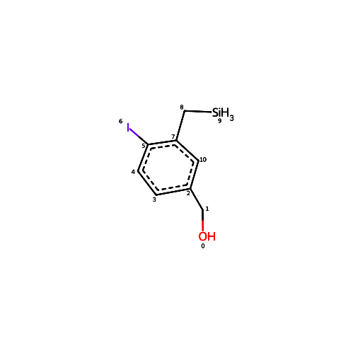 OCc1ccc(I)c(C[SiH3])c1